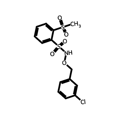 CS(=O)(=O)c1ccccc1S(=O)(=O)NOCc1cccc(Cl)c1